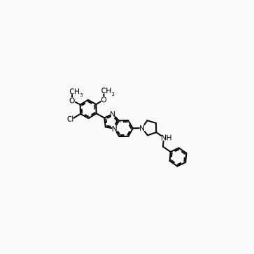 COc1cc(OC)c(-c2cn3ccc(N4CCC(NCc5ccccc5)C4)cc3n2)cc1Cl